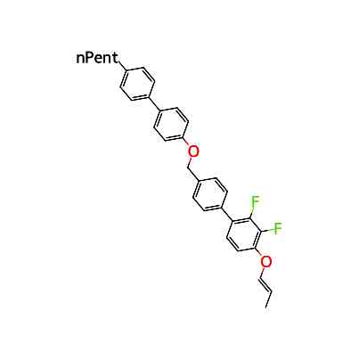 C/C=C/Oc1ccc(-c2ccc(COc3ccc(-c4ccc(CCCCC)cc4)cc3)cc2)c(F)c1F